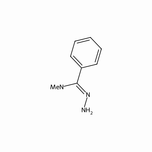 CNC(=NN)c1ccccc1